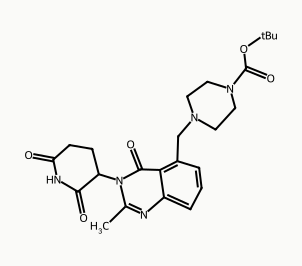 Cc1nc2cccc(CN3CCN(C(=O)OC(C)(C)C)CC3)c2c(=O)n1C1CCC(=O)NC1=O